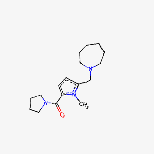 Cn1c(CN2CCCCCC2)ccc1C(=O)N1CCCC1